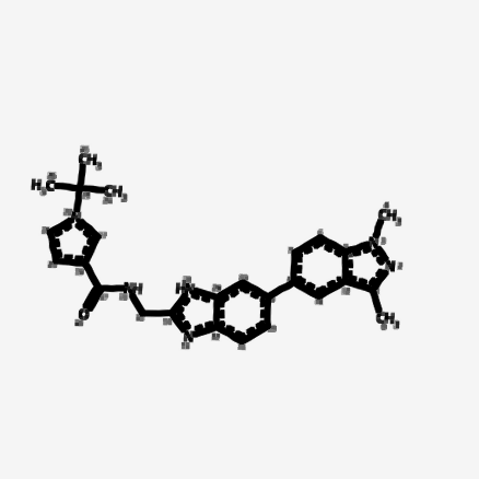 Cc1nn(C)c2ccc(-c3ccc4nc(CNC(=O)c5ccn(C(C)(C)C)c5)[nH]c4c3)cc12